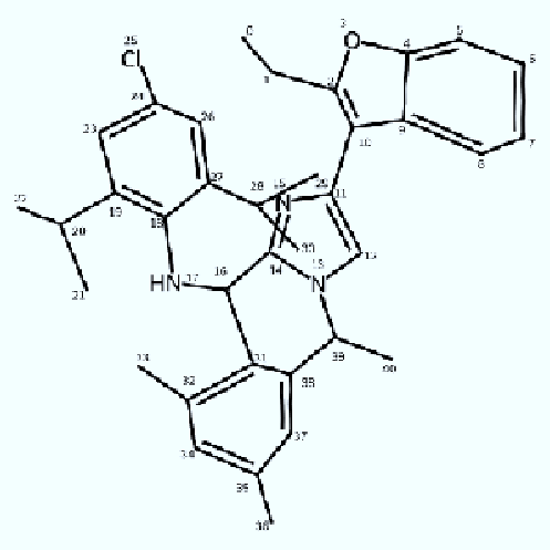 CCc1oc2ccccc2c1-c1cn2c(n1)C(Nc1c(C(C)C)cc(Cl)cc1C(C)C)c1c(C)cc(C)cc1C2C